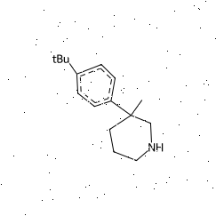 CC(C)(C)c1ccc(C2(C)CCCNC2)cc1